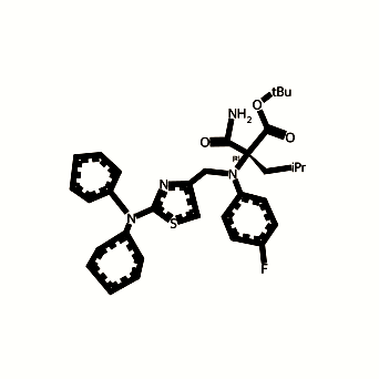 CC(C)C[C@@](C(N)=O)(C(=O)OC(C)(C)C)N(Cc1csc(N(c2ccccc2)c2ccccc2)n1)c1ccc(F)cc1